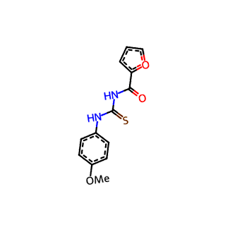 COc1ccc(NC(=S)NC(=O)c2ccco2)cc1